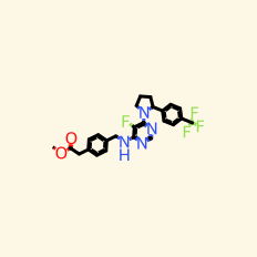 COC(=O)Cc1ccc(CNc2ncnc(N3CCCC3c3ccc(C(F)(F)F)cc3)c2F)cc1